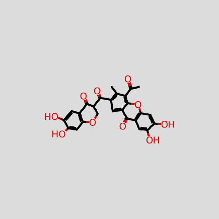 CC(=O)c1c(C)c(C(=O)C2COc3cc(O)c(O)cc3C2=O)cc2c(=O)c3cc(O)c(O)cc3oc12